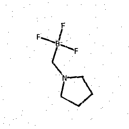 F[B-](F)(F)CN1CCCC1